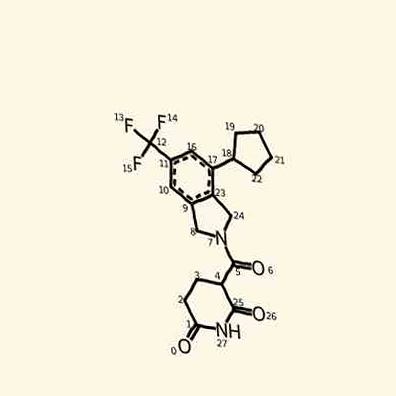 O=C1CCC(C(=O)N2Cc3cc(C(F)(F)F)cc(C4CCCC4)c3C2)C(=O)N1